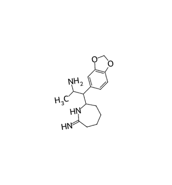 CC(N)C(c1ccc2c(c1)OCO2)C1CCCCC(=N)N1